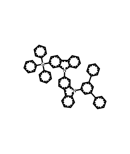 c1ccc(-c2cc(-c3ccccc3)cc(-n3c4ccccc4c4ccc(-n5c6ccccc6c6ccc([Si](c7ccccc7)(c7ccccc7)c7ccccc7)cc65)cc43)c2)cc1